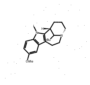 CCCCC1[C@H]2CCC[N@]1CCc1c2n(I)c2ccc(OC)cc12